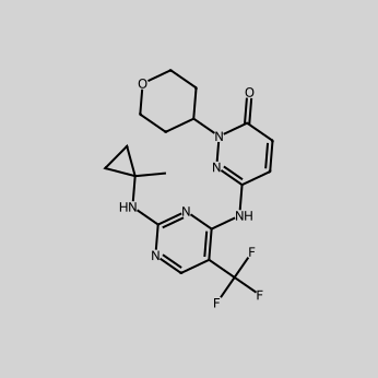 CC1(Nc2ncc(C(F)(F)F)c(Nc3ccc(=O)n(C4CCOCC4)n3)n2)CC1